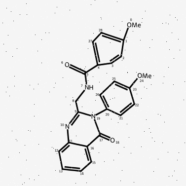 COc1ccc(C(=O)NCc2nc3ccccc3c(=O)n2-c2ccc(OC)cc2)cc1